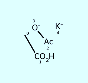 CC(=O)O.CC(=O)[O-].[K+]